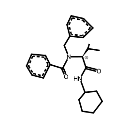 CC(C)[C@@H](C(=O)NC1CCCCC1)N(Cc1ccccc1)C(=O)c1ccccc1